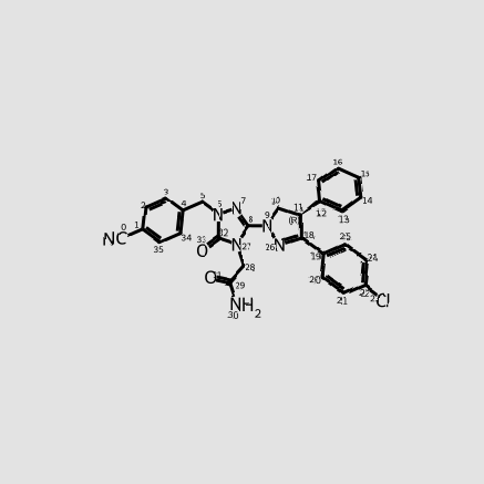 N#Cc1ccc(Cn2nc(N3C[C@@H](c4ccccc4)C(c4ccc(Cl)cc4)=N3)n(CC(N)=O)c2=O)cc1